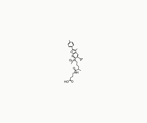 Cc1ccc(-c2oc3nc(N(CCCC(C)C(=O)NCCCC(=O)O)[S+](C)[O-])c(C4CC4)cc3c2C)cc1